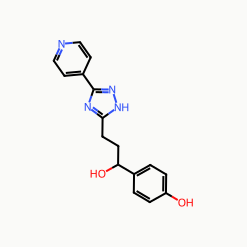 Oc1ccc(C(O)CCc2nc(-c3ccncc3)n[nH]2)cc1